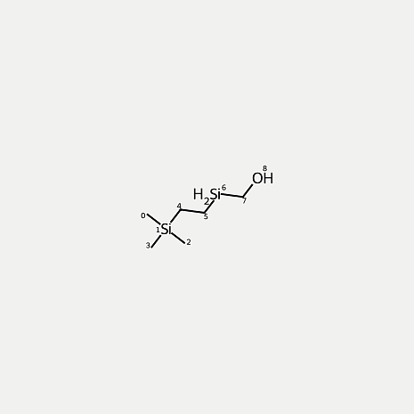 C[Si](C)(C)CC[SiH2]CO